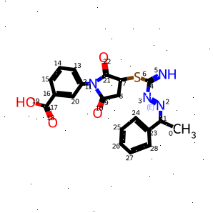 CC(/N=N/C(=N)SC1CC(=O)N(c2cccc(C(=O)O)c2)C1=O)c1ccccc1